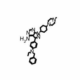 CCN(Cc1ccccc1)c1ccc(-c2nn(C3CCC(N4CCN(C)CC4)CC3)c3ncnc(N)c23)cc1